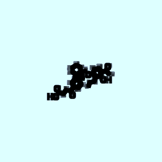 CCCc1c(OCC2(Sc3ccc(C(=O)CCC(=O)O)cc3)CCCCC2O)ccc(C(C)=O)c1O